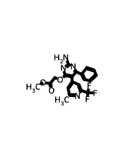 COC(=O)COc1nc(N)nc(-c2ccccc2)c1-c1cc(C)nc(C(F)(F)F)c1